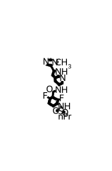 CCCS(=O)(=O)Nc1ccc(F)c(C(=O)Nc2cnc3[nH]c(-c4cncn4C)cc3c2)c1F